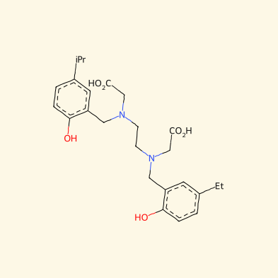 CCc1ccc(O)c(CN(CCN(CC(=O)O)Cc2cc(C(C)C)ccc2O)CC(=O)O)c1